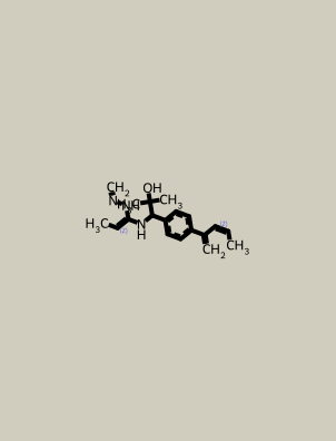 C=NN/C(=C\C)NC(c1ccc(C(=C)/C=C\C)cc1)C(C)(C)O